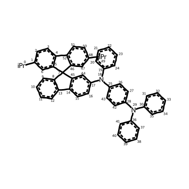 CC(C)c1ccc2c(c1)C1(c3ccccc3-c3ccc(N(c4ccccc4)c4ccc(N(c5ccccc5)c5ccccc5)cc4)cc31)c1cc(C(C)C)ccc1-2